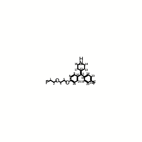 FCCOCCOc1ccc(C(=C2CCNCC2)c2ccc(F)cc2)cc1